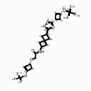 O=C(CO[C@H]1C[C@@H](OC(F)(F)F)C1)NC1CC2(C1)CC(c1nnc([C@H]3C[C@@H](OC(F)(F)F)C3)o1)C2